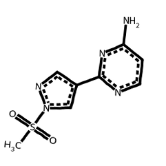 CS(=O)(=O)n1cc(-c2nccc(N)n2)cn1